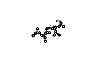 CC(C)(C)c1ccc2c(c1)c1cc(-c3ccc4c5cc(C(C)(C)Cc6cccc(-n7c8ccccc8c8cc(-n9c%10ccc(-c%11ccccc%11)cc%10c%10ccc(-c%11ccc%12c(c%11)c%11cc(-c%13ccccc%13)ccc%11n%12-c%11ccccc%11)cc%109)ccc87)c6)ccc5n(-c5ccc6c(c5)c5ccccc5n6-c5ccccc5)c4c3)ccc1n2-c1ccccc1